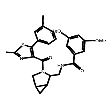 COc1cc(OC)cc(C(=O)NCC2C3CC3CN2C(=O)c2nc(C)sc2-c2cccc(C)c2)c1